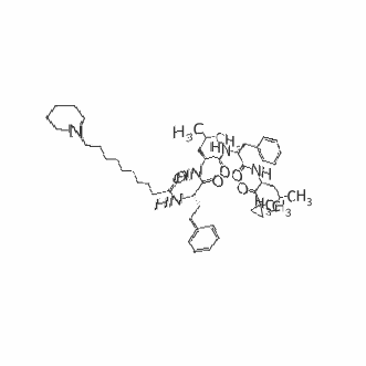 CC(C)C[C@H](NC(=O)[C@H](CCc1ccccc1)NC(=O)CCCCCCCCCN1CCCCC1)C(=O)N[C@@H](Cc1ccccc1)C(=O)N[C@@H](CC(C)C)C(=O)C1(C)CC1